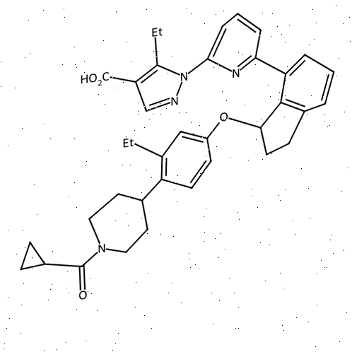 CCc1cc(OC2CCc3cccc(-c4cccc(-n5ncc(C(=O)O)c5CC)n4)c32)ccc1C1CCN(C(=O)C2CC2)CC1